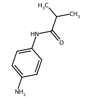 CC(C)C(=O)Nc1ccc(N)cc1